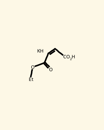 CCOC(=O)/C=C\C(=O)O.[KH]